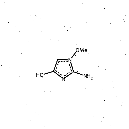 COn1cc(O)nc1N